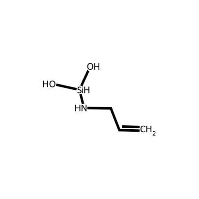 C=CCN[SiH](O)O